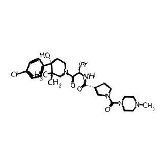 CC(C)[C@@H](NC(=O)[C@@H]1CCN(C(=O)N2CCN(C)CC2)C1)C(=O)N1CC[C@](O)(c2ccc(Cl)cc2)C(C)(C)C1